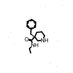 CCNC(=O)[C@]1(Cc2ccccc2)CCCNC1